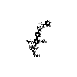 CCCOc1cc(-c2ccc(CCNC[C@H](O)c3cccnc3)cc2)ccc1C(=O)NS(=O)(=O)CCCO.Cl.Cl